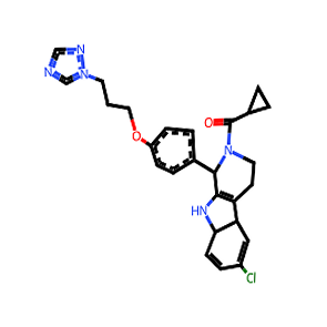 O=C(C1CC1)N1CCC2=C(NC3C=CC(Cl)=CC23)C1c1ccc(OCCCn2cncn2)cc1